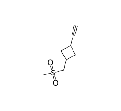 C#CC1CC(CS(C)(=O)=O)C1